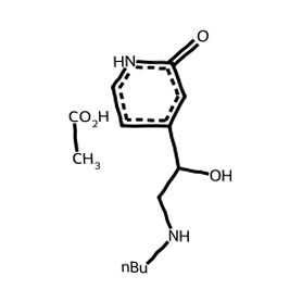 CC(=O)O.CCCCNCC(O)c1cc[nH]c(=O)c1